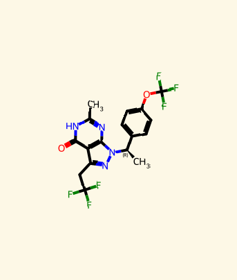 Cc1nc2c(c(CC(F)(F)F)nn2[C@H](C)c2ccc(OC(F)(F)F)cc2)c(=O)[nH]1